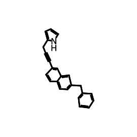 C(#Cc1ccc2ccc(Cc3ccccc3)cc2c1)Cc1ccc[nH]1